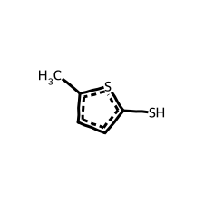 Cc1ccc(S)s1